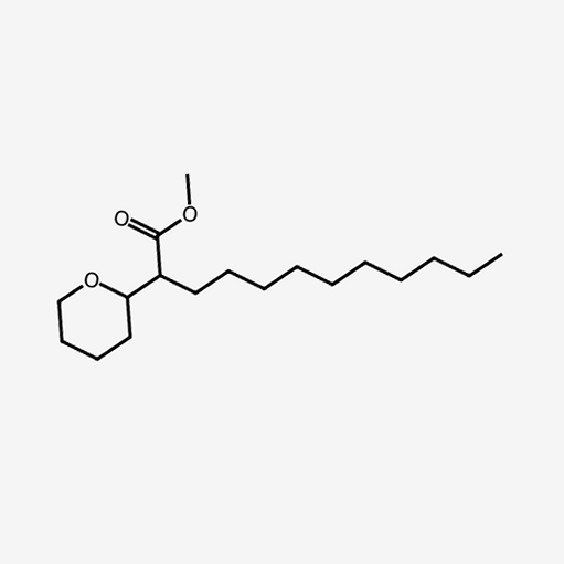 CCCCCCCCCCC(C(=O)OC)C1CCCCO1